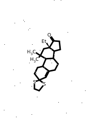 CC[C@]12CC(C)(C)C3C4CCC5(C=C4CCC3C1CCC2=O)SCCS5